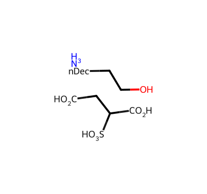 CCCCCCCCCCCCO.N.O=C(O)CC(C(=O)O)S(=O)(=O)O